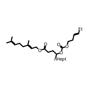 CC/C=C/CCOC(=O)OC(CCCCCCC)CCC(=O)OC/C=C(\C)CCC=C(C)C